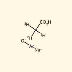 [13CH3][13C](=O)[O-].[2H]C([2H])([2H])[13C](=O)O.[Na+]